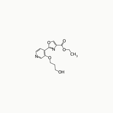 CCOC(=O)c1coc(-c2ccncc2OCCCO)n1